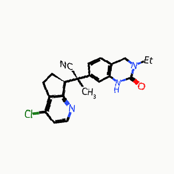 CCN1Cc2ccc([C@@](C)(C#N)[C@@H]3CCc4c(Cl)ccnc43)cc2NC1=O